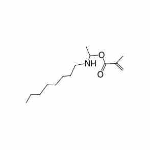 C=C(C)C(=O)OC(C)NCCCCCCCC